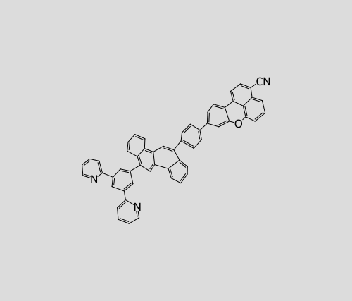 N#Cc1ccc2c3c(cccc13)Oc1cc(-c3ccc(-c4cc5c6ccccc6c(-c6cc(-c7ccccn7)cc(-c7ccccn7)c6)cc5c5ccccc45)cc3)ccc1-2